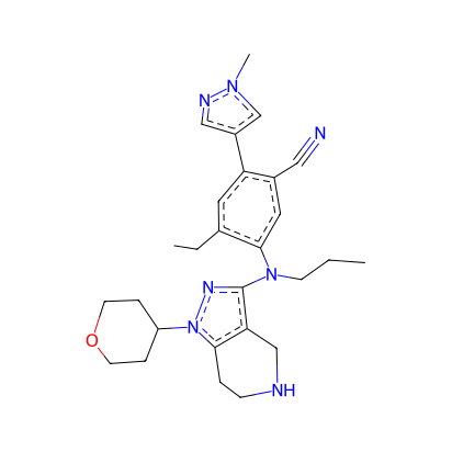 CCCN(c1cc(C#N)c(-c2cnn(C)c2)cc1CC)c1nn(C2CCOCC2)c2c1CNCC2